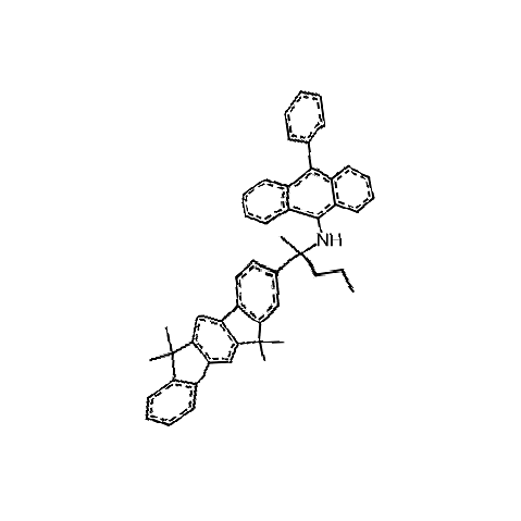 CCCC(C)(Nc1c2ccccc2c(-c2ccccc2)c2ccccc12)c1ccc2c(c1)C(C)(C)c1cc3c(cc1-2)C(C)(C)c1ccccc1-3